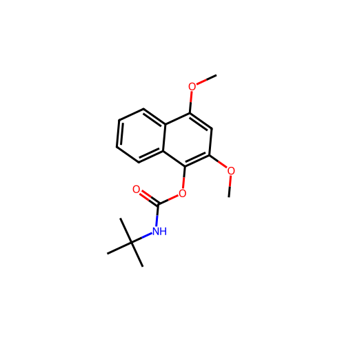 COc1cc(OC)c2ccccc2c1OC(=O)NC(C)(C)C